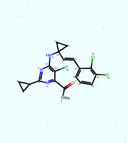 COC(=O)c1nc(C2CC2)nc(NC2(C=Cc3cccc(Cl)c3Cl)CC2)c1Cl